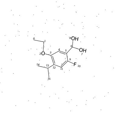 CCOc1cc(C(O)O)c(F)cc1C(C)C